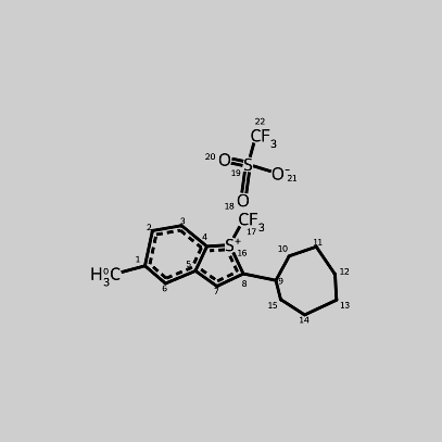 Cc1ccc2c(c1)cc(C1CCCCCC1)[s+]2C(F)(F)F.O=S(=O)([O-])C(F)(F)F